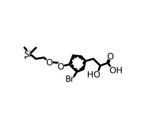 C[Si](C)(C)CCOCOc1ccc(CC(O)C(=O)O)cc1Br